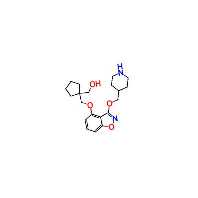 OCC1(COc2cccc3onc(OCC4CCNCC4)c23)CCCC1